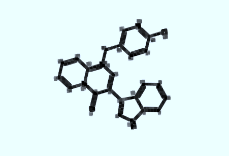 O=c1c(-c2c[nH]c3ccccc23)c[n+](Cc2ccc(Cl)nc2)c2ccccn12